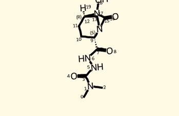 CN(C)C(=O)NNC(=O)[C@@H]1CC[C@@H]2CN1C(=O)N2O